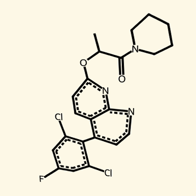 CC(Oc1ccc2c(-c3c(Cl)cc(F)cc3Cl)ccnc2n1)C(=O)N1CCCCC1